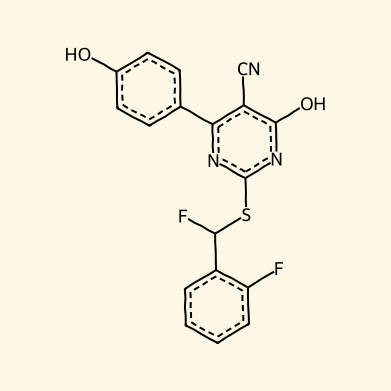 N#Cc1c(O)nc(SC(F)c2ccccc2F)nc1-c1ccc(O)cc1